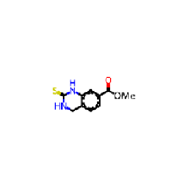 COC(=O)c1ccc2c(c1)NC(=S)NC2